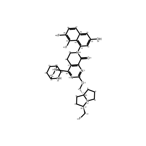 O=C1c2nc(OC[C@]34CCCN3[C@@H](CF)CC4)nc(N3CC4CCC3CN4)c2CCN1c1cc(O)cc2ccc(F)c(F)c12